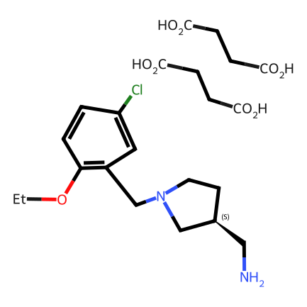 CCOc1ccc(Cl)cc1CN1CC[C@@H](CN)C1.O=C(O)CCC(=O)O.O=C(O)CCC(=O)O